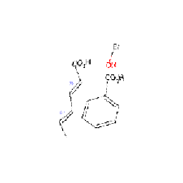 C/C=C/C=C/C(=O)O.CCO.O=C(O)c1ccccc1